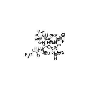 CC[C@H](C)[C@H](NC(=O)CC(F)(F)F)C(=O)N1C[C@@H]2CCC[C@@H]2[C@H]1C(=O)NN(C[C@@H]1CCNC1=O)C(=O)[C@H](F)Cl